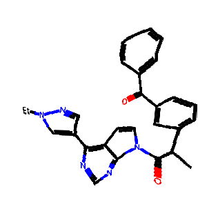 [CH2]Cn1cc(-c2ncnc3c2ccn3C(=O)C(C)c2cccc(C(=O)c3ccccc3)c2)cn1